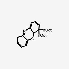 CCCCCCCCC1(CCCCCCCC)C=CC=C2N=C3CC=CC=C3SC21